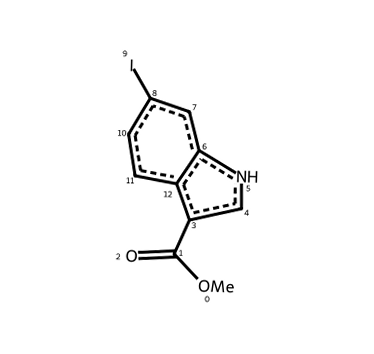 COC(=O)c1c[nH]c2cc(I)ccc12